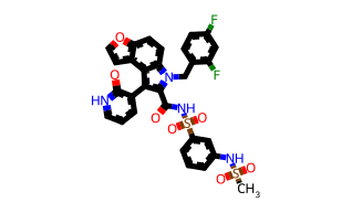 CS(=O)(=O)Nc1cccc(S(=O)(=O)NC(=O)c2c(-c3ccc[nH]c3=O)c3c4ccoc4ccc3n2Cc2ccc(F)cc2F)c1